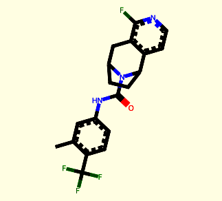 Cc1cc(NC(=O)N2C3CCC2c2ccnc(F)c2C3)ccc1C(F)(F)F